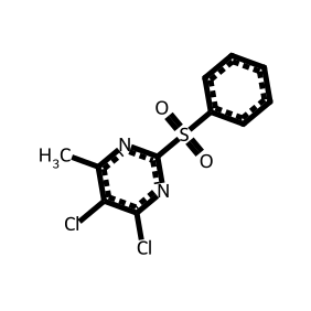 Cc1nc(S(=O)(=O)c2ccccc2)nc(Cl)c1Cl